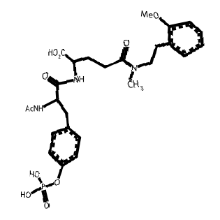 COc1ccccc1CCN(C)C(=O)CCC(NC(=O)C(Cc1ccc(OP(=O)(O)O)cc1)NC(C)=O)C(=O)O